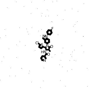 CC1C(=O)N(c2ccc3c(cnn3-c3ccc(F)cc3)c2)C(c2ccc(Cl)s2)[C@H]1NC(=O)c1cccnc1